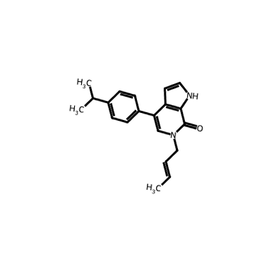 C/C=C/Cn1cc(-c2ccc(C(C)C)cc2)c2cc[nH]c2c1=O